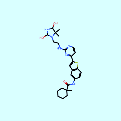 CC1(C(=O)Nc2ccc3sc(-c4ccnc(NCCN5C(O)NC(O)C5(C)C)n4)cc3c2)CCCCC1